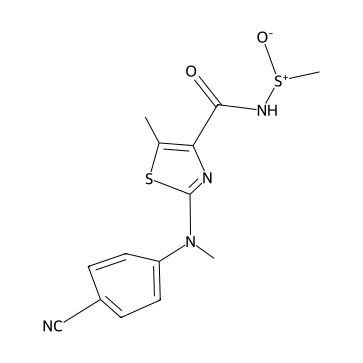 Cc1sc(N(C)c2ccc(C#N)cc2)nc1C(=O)N[S+](C)[O-]